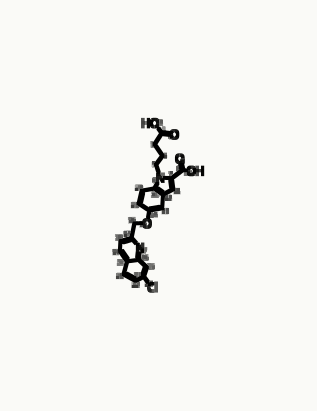 O=C(O)CCCn1c(C(=O)O)cc2cc(OCc3ccc4ccc(Cl)cc4n3)ccc21